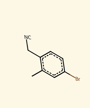 [C-]#[N+]Cc1ccc(Br)cc1C